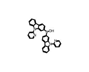 OB(c1ccc2c3ccccc3n(-c3ccccn3)c2c1)c1ccc2c3ccccc3n(-c3ccccn3)c2c1